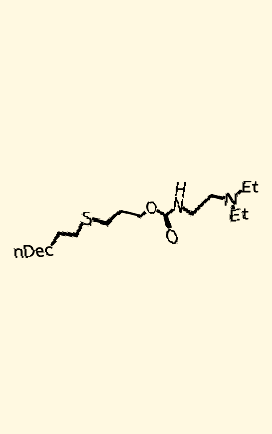 CCCCCCCCCCCCSCCCOC(=O)NCCN(CC)CC